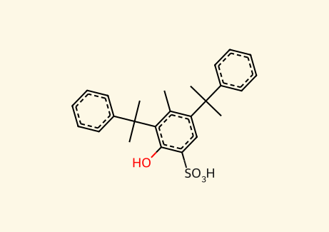 Cc1c(C(C)(C)c2ccccc2)cc(S(=O)(=O)O)c(O)c1C(C)(C)c1ccccc1